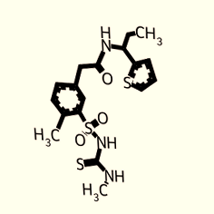 CCC(NC(=O)Cc1ccc(C)c(S(=O)(=O)NC(=S)NC)c1)c1cccs1